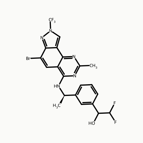 Cc1nc(N[C@H](C)c2cccc(C(O)C(F)F)c2)c2cc(Br)c3nn(C(F)(F)F)cc3c2n1